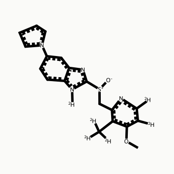 [2H]c1nc(C[S+]([O-])c2nc3cc(-n4cccc4)ccc3n2[2H])c(C([2H])([2H])[2H])c(OC)c1[2H]